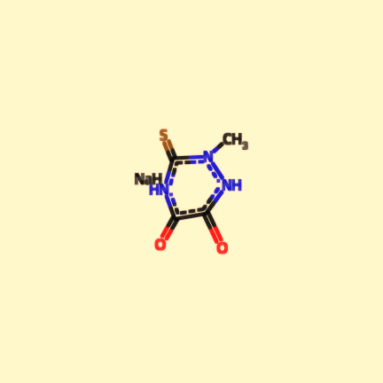 Cn1[nH]c(=O)c(=O)[nH]c1=S.[NaH]